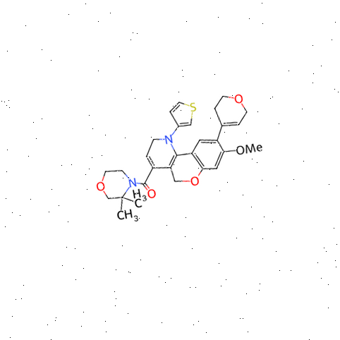 COc1cc2c(cc1C1=CCOCC1)C1=C(CO2)C(C(=O)N2CCOCC2(C)C)=CCN1c1ccsc1